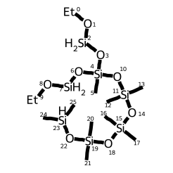 CCO[SiH2]O[Si](C)(O[SiH2]OCC)O[Si](C)(C)O[Si](C)(C)O[Si](C)(C)O[SiH](C)C